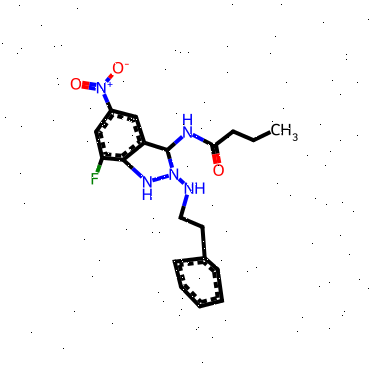 CCCC(=O)NC1c2cc([N+](=O)[O-])cc(F)c2NN1NCCc1ccccc1